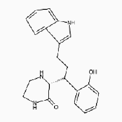 O=C1NCCN[C@@H]1C(CCc1c[nH]c2ccccc12)c1ccccc1O